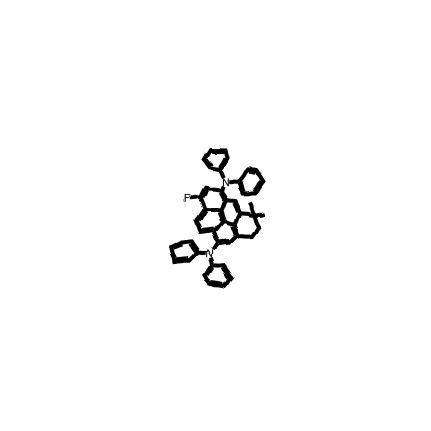 CC1(C)CCc2cc(N(c3ccccc3)c3ccccc3)c3ccc4c(F)cc(N(c5ccccc5)c5ccccc5)c5cc1c2c3c45